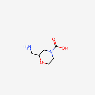 NCC1CN(C(=O)O)CCO1